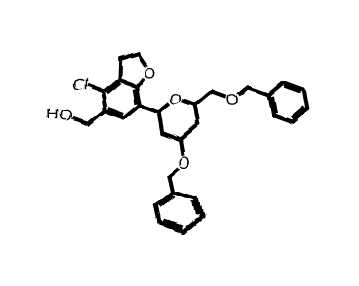 OCc1cc(C2CC(OCc3ccccc3)CC(COCc3ccccc3)O2)c2c(c1Cl)CCO2